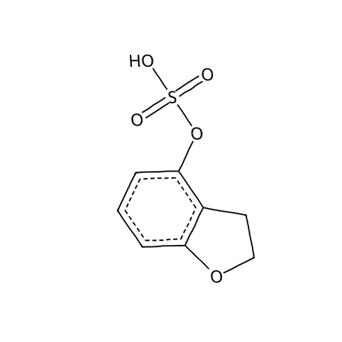 O=S(=O)(O)Oc1cccc2c1CCO2